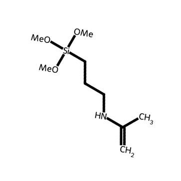 C=C(C)NCCC[Si](OC)(OC)OC